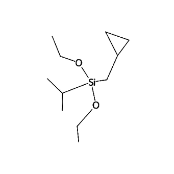 CCO[Si](CC1CC1)(OCC)C(C)C